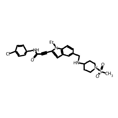 CCn1c(C#CC(=O)Nc2ccc(Cl)cc2)cc2cc(CNC3CCN(S(C)(=O)=O)CC3)ccc21